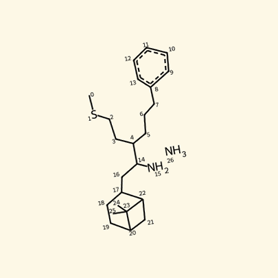 CSCCC(CCCc1ccccc1)C(N)CC1CCC2CC1C2(C)C.N